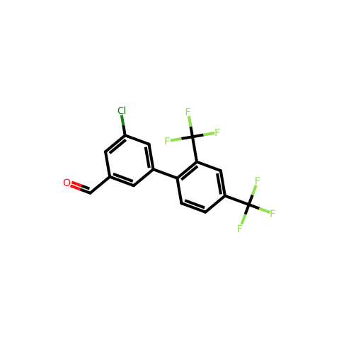 O=Cc1cc(Cl)cc(-c2ccc(C(F)(F)F)cc2C(F)(F)F)c1